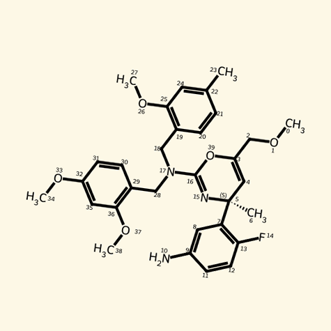 COCC1=C[C@@](C)(c2cc(N)ccc2F)N=C(N(Cc2ccc(C)cc2OC)Cc2ccc(OC)cc2OC)O1